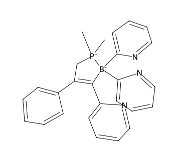 C[P+]1(C)CC(c2ccccc2)=C(c2ccccn2)[B-]1(c1ccccn1)c1ccccn1